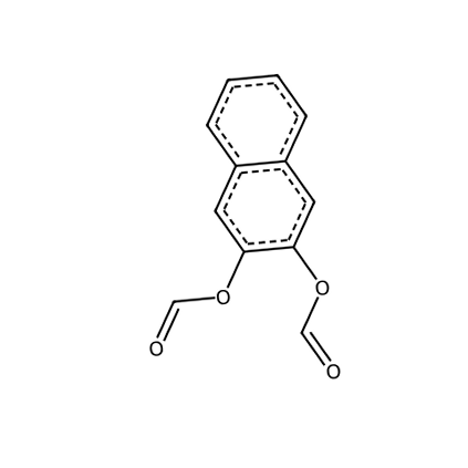 O=COc1cc2ccccc2cc1OC=O